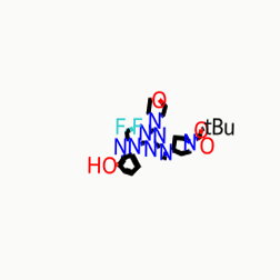 CN(c1nc(N2CCOCC2)nc(-n2c(C(F)F)nc3c(O)cccc32)n1)C1CCN(C(=O)OC(C)(C)C)CC1